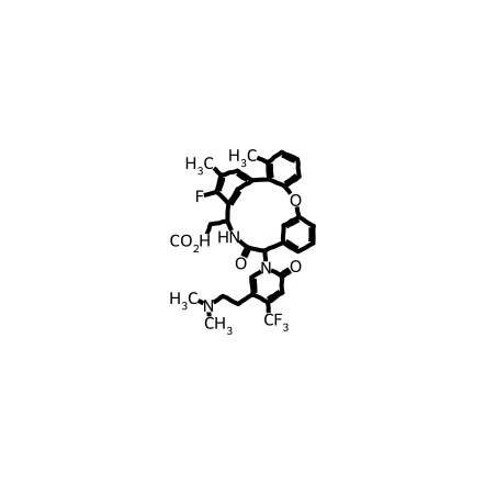 Cc1cc2cc(c1F)C(CC(=O)O)NC(=O)C(n1cc(CCN(C)C)c(C(F)(F)F)cc1=O)c1cccc(c1)Oc1cccc(C)c1-2